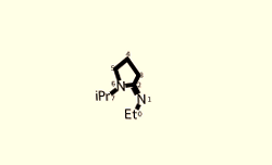 CC/N=C1/CCCN1C(C)C